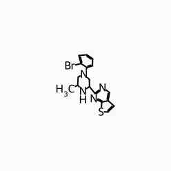 CC1CN(c2ccccc2Br)CC(c2ncc3ccsc3n2)N1